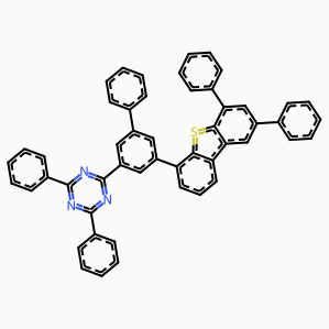 c1ccc(-c2cc(-c3nc(-c4ccccc4)nc(-c4ccccc4)n3)cc(-c3cccc4c3sc3c(-c5ccccc5)cc(-c5ccccc5)cc34)c2)cc1